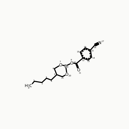 CCCCCC1COB(OC(=O)c2ccc(C#N)cc2)OC1